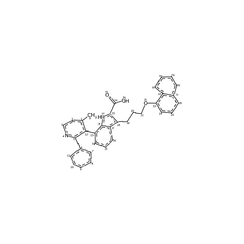 Cc1ccnc(-c2ccccc2)c1-c1cccc2c(CCCOc3cccc4ccccc34)c(C(=O)O)[nH]c12